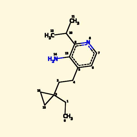 CCC1(CCc2ccnc(C(C)C)c2N)CC1